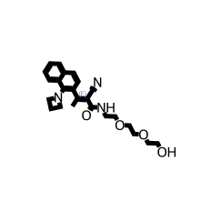 C/C(=C(/C#N)C(=O)NCCOCCOCCO)c1ccc2ccccc2c1N1CCC1